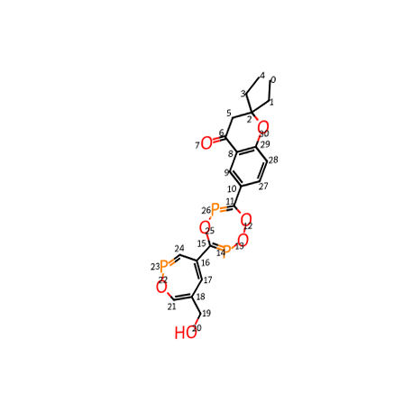 CCC1(CC)CC(=O)c2cc(-c3oopc(C4=CC(CO)=COP=C4)op3)ccc2O1